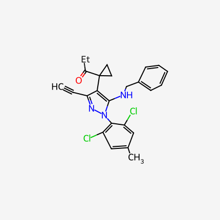 C#Cc1nn(-c2c(Cl)cc(C)cc2Cl)c(NCc2ccccc2)c1C1(C(=O)CC)CC1